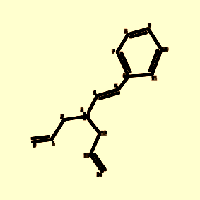 C=CCN(C=Cc1ccccc1)CC=C